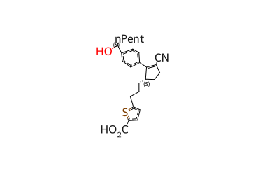 CCCCC[C@H](O)c1ccc(C2=C(C#N)CC[C@@H]2CCCc2ccc(C(=O)O)s2)cc1